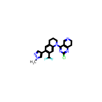 Cn1cc(-c2cc3c(cc2C(F)F)N(c2nc(Cl)nc4c2C=NCC4)CCC3)cn1